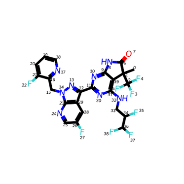 CC1(C(F)(F)F)C(=O)Nc2nc(-c3nn(Cc4ncccc4F)c4ncc(F)cc34)nc(NCC(F)C(F)F)c21